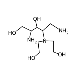 NCC(C(O)C(N)CO)N(CCO)CCO